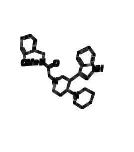 COc1ccccc1C[N]C(=O)CN1CCC(N2CCCCC2)C(c2c[nH]c3ccccc23)C1